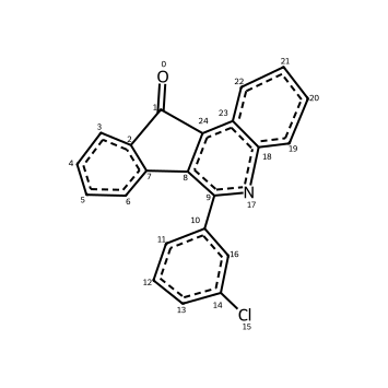 O=C1c2ccccc2-c2c(-c3cccc(Cl)c3)nc3ccccc3c21